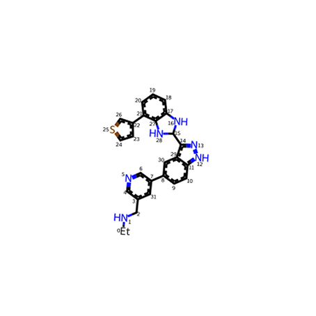 CCNCc1cncc(-c2ccc3[nH]nc(C4Nc5cccc(-c6ccsc6)c5N4)c3c2)c1